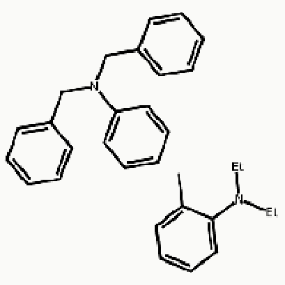 CCN(CC)c1ccccc1C.c1ccc(CN(Cc2ccccc2)c2ccccc2)cc1